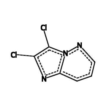 Clc1nc2cccnn2c1Cl